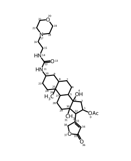 CC(=O)OC1CC2(O)C3CCC4CC(NC(=O)NCCN5CCOCC5)CCC4(C)C3CCC2(C)C1C1=CC(=O)OC1